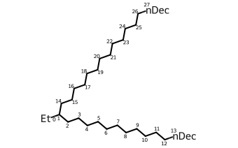 [CH2]CC(CCCCCCCCCCCCCCCCCCCCC)CCCCCCCCCCCCCCCCCCCCCCC